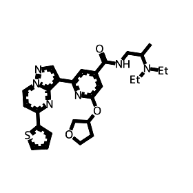 CCN(CC)C(C)CNC(=O)c1cc(OC2CCOC2)nc(-c2cnn3ccc(-c4cccs4)nc23)c1